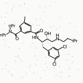 CCCN(CCC)C(=O)c1cc(C)cc(C(=O)N[C@@H](Cc2cc(Cl)cc(Cl)c2)[C@H](O)CNCCC(C)C)c1